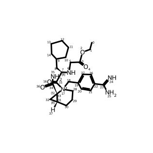 CCOC(=O)CN[C@H](CC1CCCCC1)C(=O)[N+]1(Cc2ccc(C(=N)N)cc2)CCC[C@@H]2C[C@@]21C(N)=O